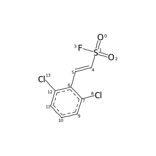 O=S(=O)(F)C=Cc1c(Cl)cccc1Cl